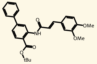 COc1ccc(C=CC(=O)Nc2cc(-c3ccccc3)ccc2C(=O)OC(C)(C)C)cc1OC